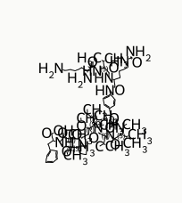 CC[C@H](C)[C@@H]([C@@H](CC(=O)N1CCC[C@H]1[C@H](OC)[C@@H](C)C(=O)NC(Cc1ccccc1)C(=O)O)OC)N(C)C(=O)[C@@H](NC(=O)[C@H](C(C)C)N(C)C(=O)OCc1ccc(NC(=O)C(CCCNC(N)=O)NC(=O)[C@@H](NC(=O)C(N)CCCCN)C(C)C)cc1)C(C)C